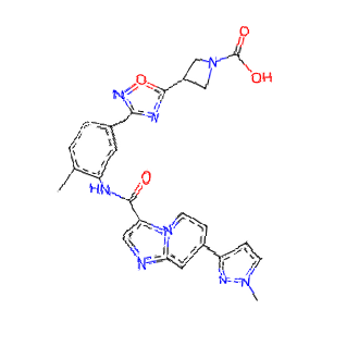 Cc1ccc(-c2noc(C3CN(C(=O)O)C3)n2)cc1NC(=O)c1cnc2cc(-c3ccn(C)n3)ccn12